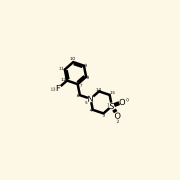 O=S1(=O)CCN(Cc2cc[c]cc2F)CC1